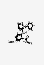 CCNC(=O)c1cc(SC)ccc1Nc1ccnn1-c1ccccc1